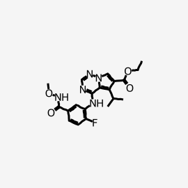 CCOC(=O)c1cn2ncnc(Nc3cc(C(=O)NOC)ccc3F)c2c1C(C)C